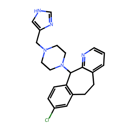 Clc1ccc2c(c1)CCc1cccnc1C2N1CCN(Cc2c[nH]cn2)CC1